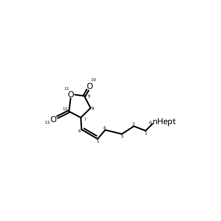 CCCCCCCCCCC/C=C\C1CC(=O)OC1=O